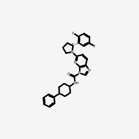 O=C(NC1CCC(c2ccccc2)CC1)n1cnc2ccc(N3CCC[C@@H]3c3cc(F)ccc3F)nc21